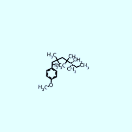 CCS(C)(C)C(C)(C)CC(C)(C)Cc1ccc(OC)cc1